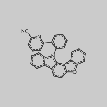 N#Cc1cccc(-c2ccccc2-n2c3ccccc3c3ccc4oc5ccccc5c4c32)n1